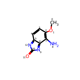 COc1ccc2c(c1N)=NC(=O)N=2